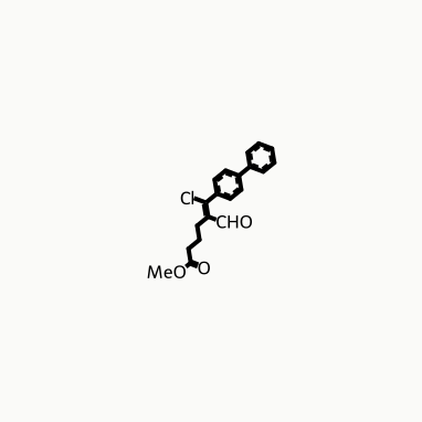 COC(=O)CCC/C(C=O)=C(\Cl)c1ccc(-c2ccccc2)cc1